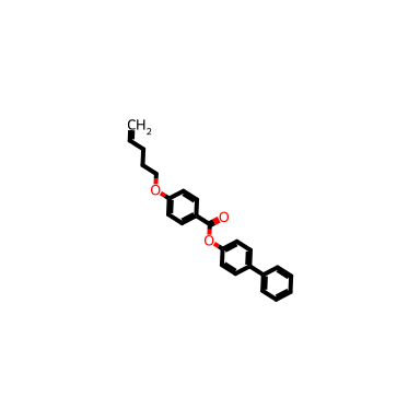 C=CCCCOc1ccc(C(=O)Oc2ccc(-c3ccccc3)cc2)cc1